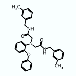 Cc1cccc(CNC(=O)CN(CC(=O)NCc2cccc(C)c2)c2ccccc2Oc2ccccc2)c1